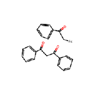 CC(=O)CC(=O)c1ccccc1.O=C(CC(=O)c1ccccc1)c1ccccc1